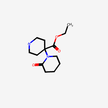 CCOC(=O)C1(N2CCCCC2=O)CC[N]CC1